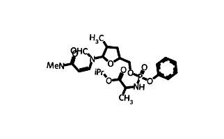 CNC(=O)/C=C\N(C=O)C1OC(COP(=O)(NC(C)C(=O)OC(C)C)Oc2ccccc2)CC1C